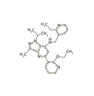 CCOc1ncccc1-c1cc(NCc2cccnc2CC)c2c(n1)c(C)nn2C(C)C